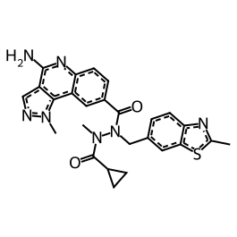 Cc1nc2ccc(CN(C(=O)c3ccc4nc(N)c5cnn(C)c5c4c3)N(C)C(=O)C3CC3)cc2s1